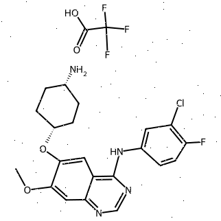 COc1cc2ncnc(Nc3ccc(F)c(Cl)c3)c2cc1O[C@H]1CC[C@@H](N)CC1.O=C(O)C(F)(F)F